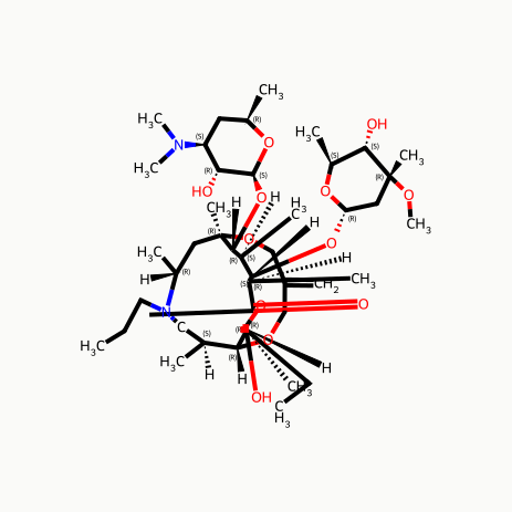 C=C1CO[C@@H]2[C@@H](C)CN(CCC)[C@H](C)C[C@@](C)(OC1)[C@H](O[C@@H]1O[C@H](C)C[C@H](N(C)C)[C@H]1O)[C@@H](C)[C@H](O[C@H]1C[C@@](C)(OC)[C@@H](O)[C@H](C)O1)[C@@H](C)C(=O)O[C@H](CC)[C@@]2(C)O